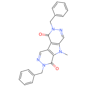 Cn1c2cnn(Cc3ccccc3)c(=O)c2c2cnn(Cc3ccccc3)c(=O)c21